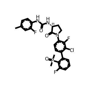 Cc1ccc(NC(=O)N[C@@H]2CCN(c3ccc(-c4cccc(F)c4P(C)(C)=O)c(Cl)c3F)C2=O)c(F)c1